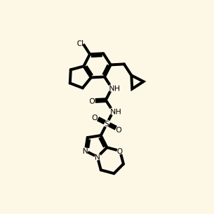 O=C(Nc1c(CC2CC2)cc(Cl)c2c1CCC2)NS(=O)(=O)c1cnn2c1OCCC2